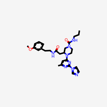 CCCNC(=O)N1CCN(c2cc(C)nc(-n3ccnc3)n2)C(CC(=O)NCCc2cccc(OC)c2)C1